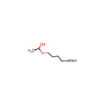 CCCCCCCCCOC(C)O